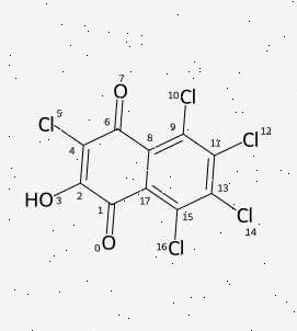 O=C1C(O)=C(Cl)C(=O)c2c(Cl)c(Cl)c(Cl)c(Cl)c21